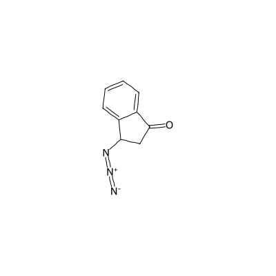 [N-]=[N+]=NC1CC(=O)c2ccccc21